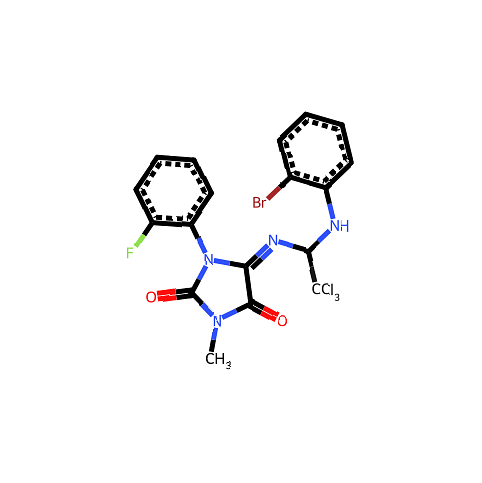 CN1C(=O)C(=NC(Nc2ccccc2Br)C(Cl)(Cl)Cl)N(c2ccccc2F)C1=O